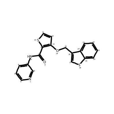 O=C(Nc1cccnc1)c1sccc1OCc1csc2ccccc12